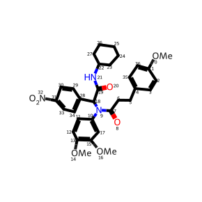 COc1ccc(CCC(=O)N(c2ccc(OC)c(OC)c2)C(C(=O)NC2CCCCC2)c2ccc([N+](=O)[O-])cc2)cc1